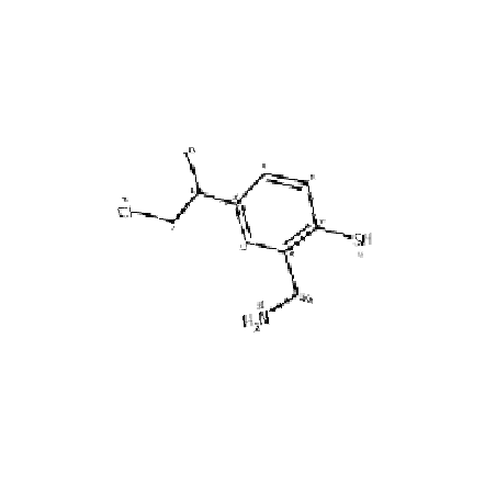 CC(CCl)c1ccc(S)c(CN)c1